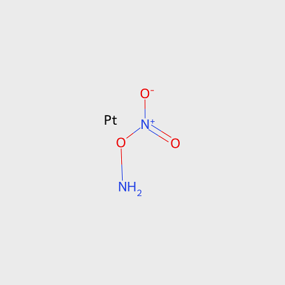 NO[N+](=O)[O-].[Pt]